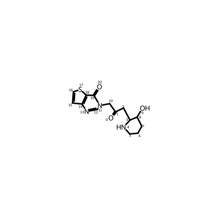 O=C(CC1NCCCC1O)Cn1cnc2ccsc2c1=O